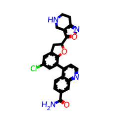 NC(=O)c1ccc2c(-c3cc(Cl)cc4c3OC(c3onc5c3CNCC5)C4)ccnc2c1